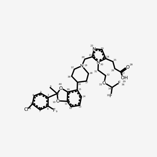 CC1(c2ccc(Cl)cc2F)Oc2cccc(C3CCN(Cc4ncc(CCC(=O)O)n4CCOC(F)F)CC3)c2O1